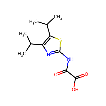 CC(C)c1nc(NC(=O)C(=O)O)sc1C(C)C